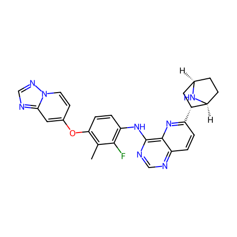 Cc1c(Oc2ccn3ncnc3c2)ccc(Nc2ncnc3ccc([C@@H]4C[C@H]5CC[C@@H]4N5)nc23)c1F